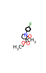 CCOC(=O)C1(C)CCCN(c2ccc(F)cc2)C1=O